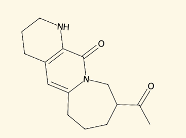 CC(=O)C1CCCc2cc3c(c(=O)n2C1)NCCC3